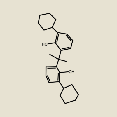 CC(C)(c1cccc(C2CCCCC2)c1O)c1cccc(C2CCCCC2)c1O